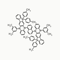 Cc1ccc([Si]2(c3ccc(C)cc3)c3ccccc3-c3cc4c(cc32)N(c2cccc3c(N5c6ccccc6N(c6cc(C)cc(C)c6)c6cc7c(cc65)[Si](c5ccc(C)cc5)(c5ccc(C)cc5)c5ccccc5-7)cccc23)c2ccccc2N4c2cc(C)cc(C)c2)cc1